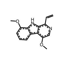 C=Cc1ncc(OC)c2c1[nH]c1c(OC)cccc12